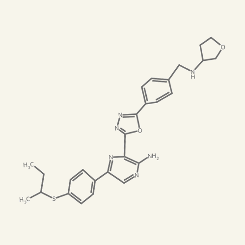 CCC(C)Sc1ccc(-c2cnc(N)c(-c3nnc(-c4ccc(CNC5CCOC5)cc4)o3)n2)cc1